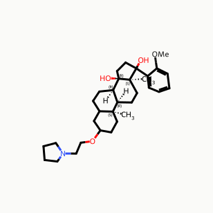 COc1ccccc1C1(O)CC[C@@]2(O)[C@@H]3CCC4CC(OCCN5CCCC5)CC[C@]4(C)[C@@H]3CC[C@]12C